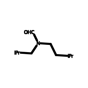 CC(C)CCN(C=O)CC(C)C